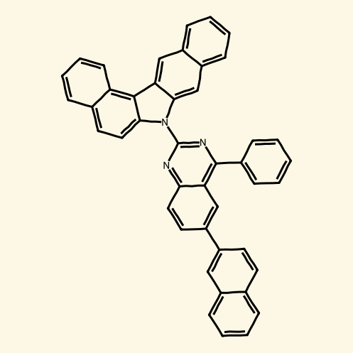 c1ccc(-c2nc(-n3c4cc5ccccc5cc4c4c5ccccc5ccc43)nc3ccc(-c4ccc5ccccc5c4)cc23)cc1